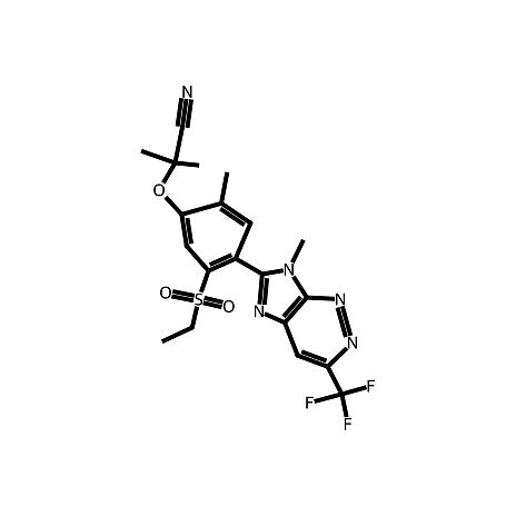 CCS(=O)(=O)c1cc(OC(C)(C)C#N)c(C)cc1-c1nc2cc(C(F)(F)F)nnc2n1C